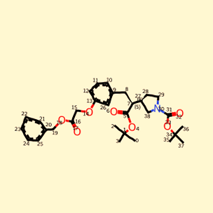 CC(C)(C)OC(=O)[C@@H](Cc1cccc(OCC(=O)OCc2ccccc2)c1)[C@H]1CCN(C(=O)OC(C)(C)C)C1